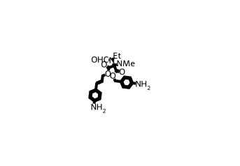 CCN([C]=O)C(NC)(C(=O)OCC=Cc1ccc(N)cc1)C(=O)OCc1ccc(N)cc1